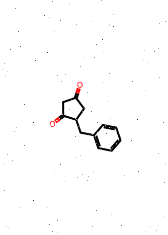 O=C1CC(=O)C(Cc2ccccc2)C1